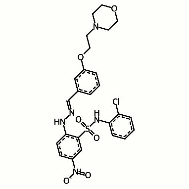 O=[N+]([O-])c1ccc(N/N=C/c2cccc(OCCN3CCOCC3)c2)c(S(=O)(=O)Nc2ccccc2Cl)c1